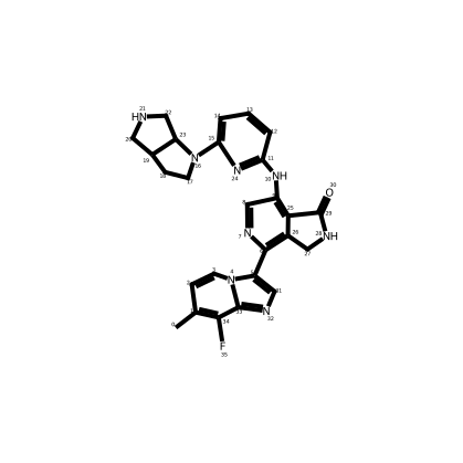 Cc1ccn2c(-c3ncc(Nc4cccc(N5CCC6CNCC65)n4)c4c3CNC4=O)cnc2c1F